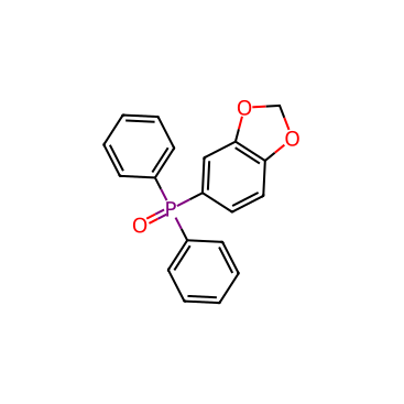 O=P(c1ccccc1)(c1ccccc1)c1ccc2c(c1)OCO2